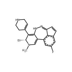 CC[C@@H]1C(C2=CCNCC2)=C2NN=C3C=Cc4cc(F)cc(c43)C2=CN1C